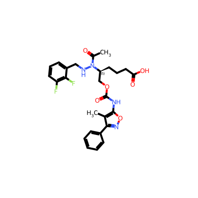 CC(=O)N(NCc1cccc(F)c1F)[C@@H](CCCC(=O)O)COC(=O)Nc1onc(-c2ccccc2)c1C